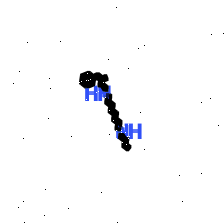 CCCCNCCCCCCCCNCCC(C)Cc1ccccc1